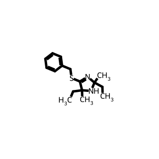 CCC1(C)N=C(SCc2ccccc2)C(C)(CC)N1